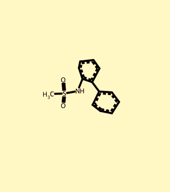 CS(=O)(=O)Nc1ccccc1-c1ccccc1